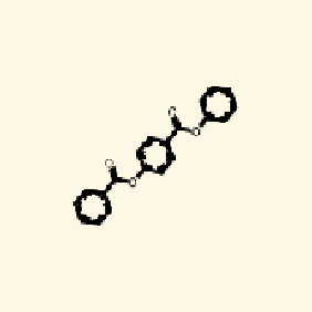 O=C(Oc1ccc(C(=O)Oc2ccccc2)cc1)c1ccccc1